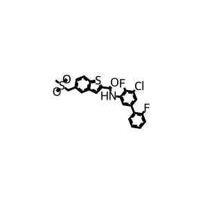 CS(=O)(=O)Cc1ccc2sc(C(=O)Nc3cc(-c4ccccc4F)cc(Cl)c3F)cc2c1